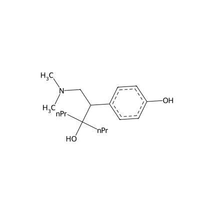 CCCC(O)(CCC)C(CN(C)C)c1ccc(O)cc1